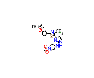 CC(C)(C)[Si](C)(C)OC1CCC(c2nc(C(F)(F)F)c(-c3nc(NC4CCN(S(C)(=O)=O)CC4)ncc3F)s2)C1